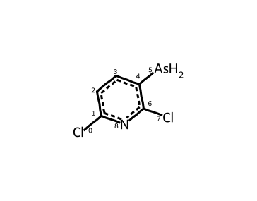 Clc1ccc([AsH2])c(Cl)n1